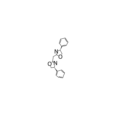 c1ccc([C@H]2COC(CC3=N[C@@H](c4ccccc4)CO3)=N2)cc1